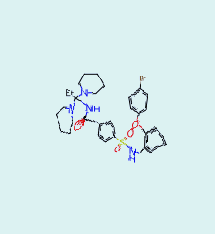 CCC(NC(=O)c1ccc(S(=O)(=O)Nc2ccccc2Oc2ccc(Br)cc2)cc1)(N1CCCCC1)N1CCCCC1